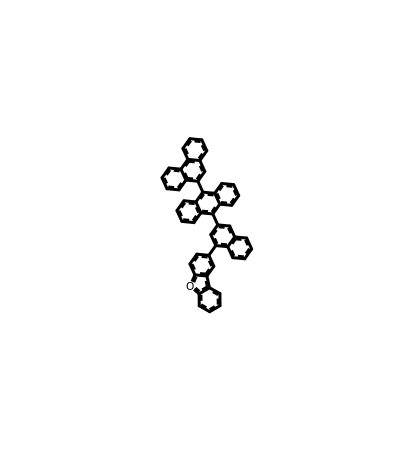 c1ccc2c(-c3ccc4oc5ccccc5c4c3)cc(-c3c4ccccc4c(-c4cc5ccccc5c5ccccc45)c4ccccc34)cc2c1